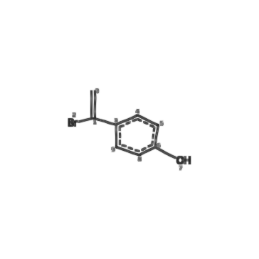 C=C(Br)c1ccc(O)cc1